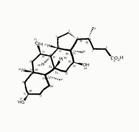 C[C@H](CCC(=O)O)[C@H]1CC[C@H]2[C@@H]3[C@H](O)C[C@H]4C[C@H](O)CC[C@]4(C)[C@H]3C[C@H](O)[C@]12C